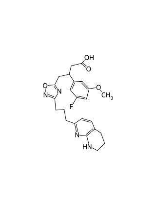 COc1cc(F)cc(C(CC(=O)O)Cc2nc(CCCc3ccc4c(n3)NCCC4)no2)c1